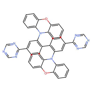 c1ccc2c(c1)Oc1ccccc1N2c1cc(-c2ncncn2)ccc1-c1ccc(-c2ncncn2)cc1N1c2ccccc2Oc2ccccc21